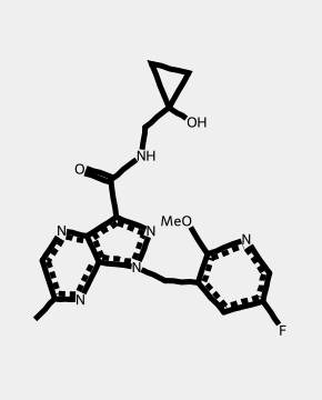 COc1ncc(F)cc1Cn1nc(C(=O)NCC2(O)CC2)c2ncc(C)nc21